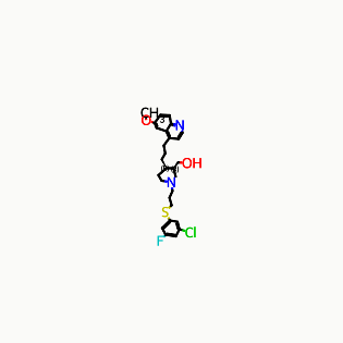 COc1ccc2nccc(CCC[C@@H]3CCN(CCCSc4cc(F)cc(Cl)c4)C[C@@H]3CO)c2c1